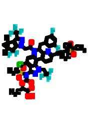 CC(OC(=O)N(c1nn(CC(F)(F)F)c2c(-c3ccc(C#CC(C)(C)S(C)(=O)=O)nc3C(Cc3cc(F)cc(F)c3)NC(=O)Cn3nc(C(F)(F)F)c4c3C(F)(F)[C@@H]3C[C@H]43)ccc(Cl)c12)S(C)(=O)=O)C(=O)O